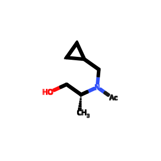 CC(=O)N(CC1CC1)[C@H](C)CO